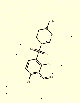 CN1CCN(S(=O)(=O)c2ccc(Cl)c([C]=O)c2Cl)CC1